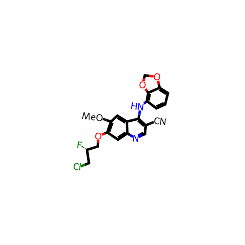 COc1cc2c(Nc3cccc4c3OCO4)c(C#N)cnc2cc1OC[C@@H](F)CCl